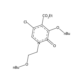 CCCCOCCn1cc(Cl)c(C(=O)OCC)c(OCCCC)c1=O